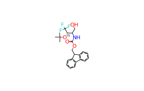 CC(C)(C)O[C@@H](C(CO)NC(=O)OCC1c2ccccc2-c2ccccc21)C(F)(F)F